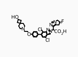 O=C(O)C(c1ncn2c1C[C@@H](F)C2)n1cc2c(Cl)cc(-c3ccc(OCCN4CCC5(CC4)CC(O)C5)cc3)c(Cl)c2n1